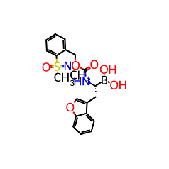 CN=S(C)(=O)c1ccccc1COC(=O)N[C@@H](Cc1coc2ccccc12)B(O)O